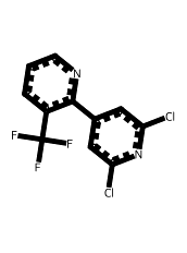 FC(F)(F)c1cccnc1-c1cc(Cl)nc(Cl)c1